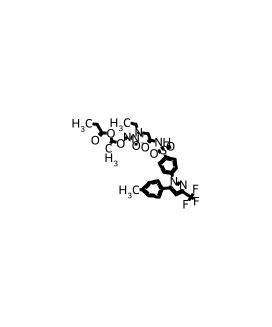 CCC(=O)OC(C)ON=[N+]([O-])N(CC)CC(=O)NS(=O)(=O)c1ccc(-n2nc(C(F)(F)F)cc2-c2ccc(C)cc2)cc1